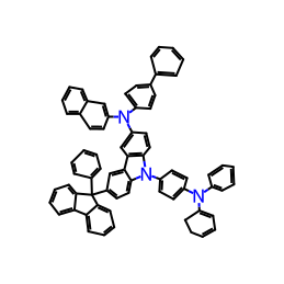 C1=CCCC(N(c2ccccc2)c2ccc(-n3c4ccc(N(c5ccc(-c6ccccc6)cc5)c5ccc6ccccc6c5)cc4c4cc(C5(c6ccccc6)c6ccccc6-c6ccccc65)ccc43)cc2)=C1